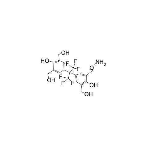 NOCc1cc(C(c2cc(CO)c(O)c(CO)c2)(C(F)(F)F)C(F)(F)F)cc(CO)c1O